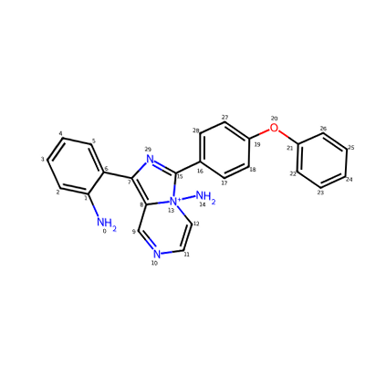 Nc1ccccc1C1=C2C=NC=C[N+]2(N)C(c2ccc(Oc3ccccc3)cc2)=N1